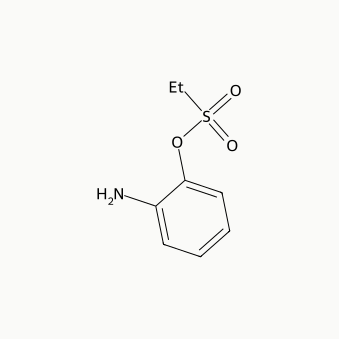 CCS(=O)(=O)Oc1ccccc1N